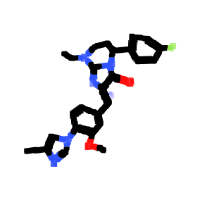 CCN1CCC(c2ccc(F)cc2)N2C(=O)/C(=C/c3ccc(-n4cnc(C)c4)c(OC)c3)N=C12